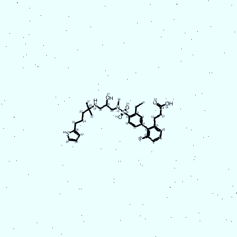 CCc1cc(-c2c(F)cccc2CCC(=O)O)ccc1S(=O)(=O)N(C)CC(O)CNC(C)(C)CCCc1cccs1